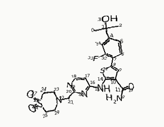 CC(C)(O)c1ccc(-c2cc(C(N)=O)c(Nc3ccnc(CN4CCS(=O)(=O)CC4)n3)s2)c(F)c1